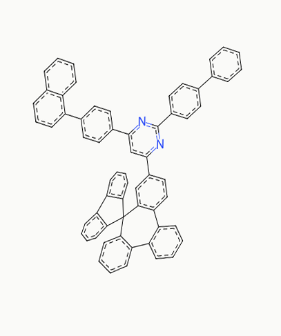 c1ccc(-c2ccc(-c3nc(-c4ccc(-c5cccc6ccccc56)cc4)cc(-c4ccc5c(c4)C4(c6ccccc6-c6ccccc6-5)c5ccccc5-c5ccccc54)n3)cc2)cc1